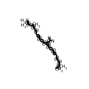 C=CC(=O)OC(C)COCC(C)OC(=O)CCC(=O)OCCc1ccc(OC(=O)[C@H]2CC[C@H](C(=O)Oc3ccc(OC(=O)[C@H]4CC[C@H](C(=O)Oc5ccc(CCOC(=O)CCC(=O)OCC(C)OC(=O)C=C)cc5)CC4)c4c3SC(=C(C#N)C#N)S4)CC2)cc1